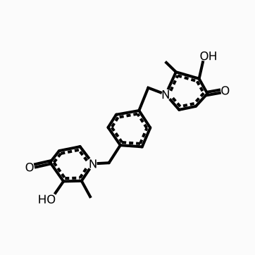 Cc1c(O)c(=O)ccn1Cc1ccc(Cn2ccc(=O)c(O)c2C)cc1